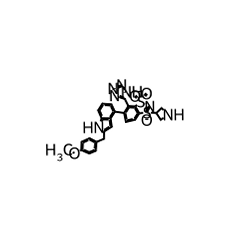 COc1ccc(Cc2cc3c(-c4ccc5c(c4-c4nnn[nH]4)S(=O)(=O)N=S5(=O)C4CNC4)cccc3[nH]2)cc1